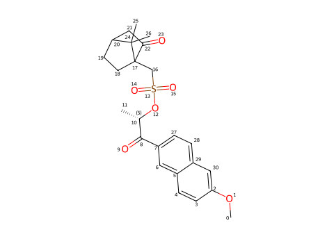 COc1ccc2cc(C(=O)[C@H](C)OS(=O)(=O)CC34CCC(CC3=O)C4(C)C)ccc2c1